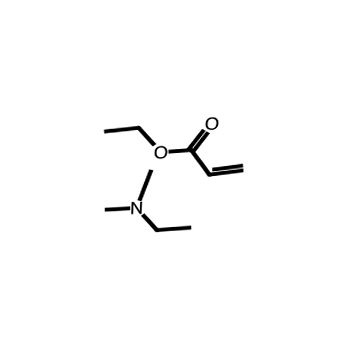 C=CC(=O)OCC.CCN(C)C